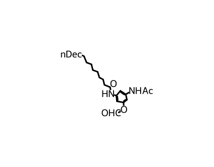 CCCCCCCCCCCCCCCCCCC(=O)Nc1cc(NC(C)=O)cc(OC=O)c1